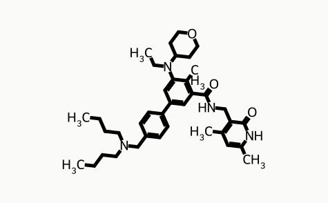 CCCCN(CCCC)Cc1ccc(-c2cc(C(=O)NCc3c(C)cc(C)[nH]c3=O)c(C)c(N(CC)C3CCOCC3)c2)cc1